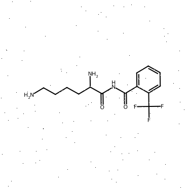 NCCCCC(N)C(=O)NC(=O)c1ccccc1C(F)(F)F